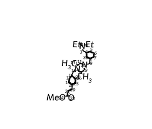 CCN(CC)Cc1cccc(CN2C[C@@H](C)N(Cc3ccc(/C=C/C(=O)OC)cc3)[C@@H](C)C2)c1